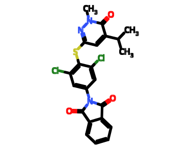 CC(C)c1cc(Sc2c(Cl)cc(N3C(=O)c4ccccc4C3=O)cc2Cl)nn(C)c1=O